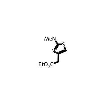 CCOC(=O)Cc1csc(NC)n1